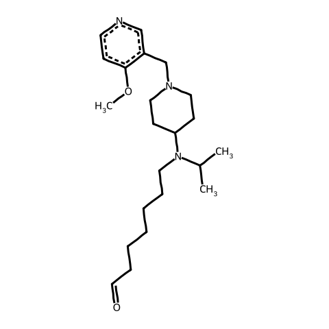 COc1ccncc1CN1CCC(N(CCCCCCC=O)C(C)C)CC1